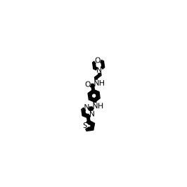 O=C(NCCN1CCOCC1)c1ccc(Nc2nccc(-c3cccs3)n2)cc1